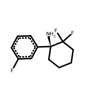 N[C@]1(c2cccc(F)c2)CCCCC1(F)F